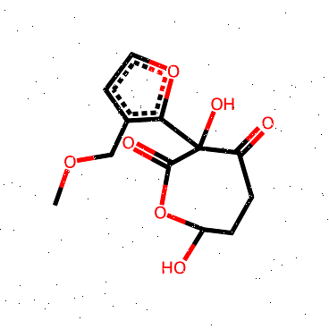 COCc1ccoc1C1(O)C(=O)CCC(O)OC1=O